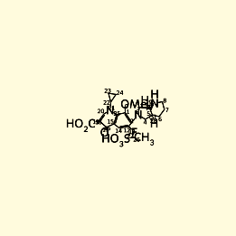 COc1c(N2C[C@@H]3CCCN[C@@H]3C2)c(F)cc2c(=O)c(C(=O)O)cn(C3CC3)c12.CS(=O)(=O)O